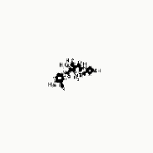 C#CC1(NC(=O)C(=O)c2c(C)c(C(=O)Nc3ccc(C)c(C#N)c3)n(C)c2C)CC(O)C1